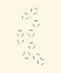 c1cc(-c2cccc3oc4c5ccccc5ccc4c23)cc(N(c2ccc(-c3cccc(-n4c5ccccc5c5ccccc54)c3)cc2)c2cccc3ccccc23)c1